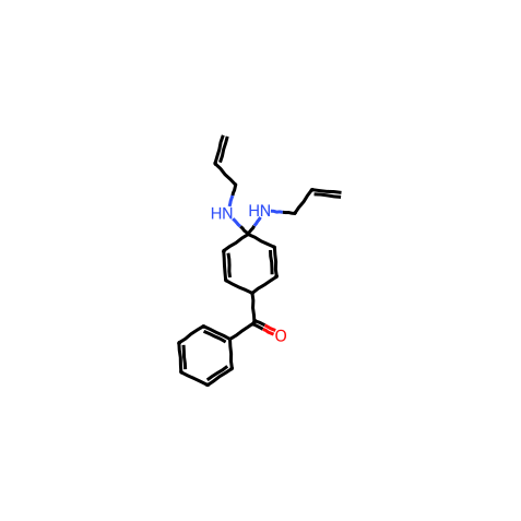 C=CCNC1(NCC=C)C=CC(C(=O)c2ccccc2)C=C1